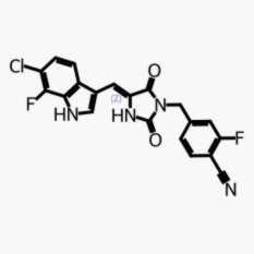 N#Cc1ccc(CN2C(=O)N/C(=C\c3c[nH]c4c(F)c(Cl)ccc34)C2=O)cc1F